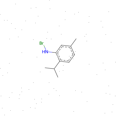 Cc1ccc(C(C)C)c(NBr)c1